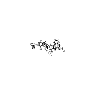 CCN(CC)[N+](CCCn1c(CCOC)nc2c(N)nc3ccccc3c21)(Cc1cccc(OCC(=O)[O-])c1C)C(C)=O